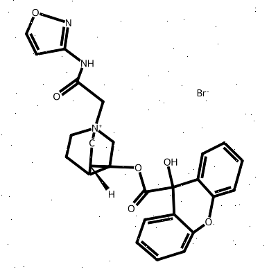 O=C(C[N+]12CCC(CC1)[C@@H](OC(=O)C1(O)c3ccccc3Oc3ccccc31)C2)Nc1ccon1.[Br-]